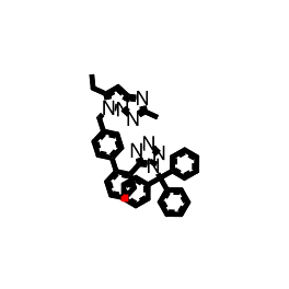 CCc1cc2nc(C)nn2n1Cc1ccc(-c2ccccc2-c2nnnn2C(c2ccccc2)(c2ccccc2)c2ccccc2)cc1